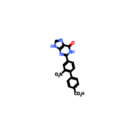 O=C(O)c1ccc(-c2ccc(-c3nc4[nH]cnc4c(=O)[nH]3)cc2[N+](=O)[O-])cc1